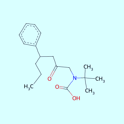 CCCC(CC(=O)CN(C(=O)O)C(C)(C)C)c1ccccc1